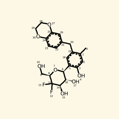 Cc1cc(O)c([C@@H]2O[C@H](CO)C(F)(F)[C@H](O)[C@H]2O)cc1Cc1ccc2c(c1)OCCO2